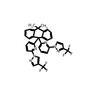 CC1(C)c2ccccc2C(c2cccc(-n3cc(C(F)(F)F)cn3)n2)(c2cccc(-n3ccc(C(F)(F)F)n3)n2)c2ccccc21